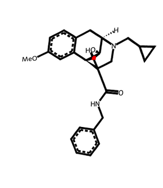 COc1ccc2c(c1)[C@]13CCN(CC4CC4)[C@H](C2)[C@]1(O)CC(C(=O)NCc1ccccc1)C3